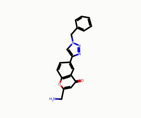 NCc1cc(=O)c2cc(-c3cn(Cc4ccccc4)nn3)ccc2o1